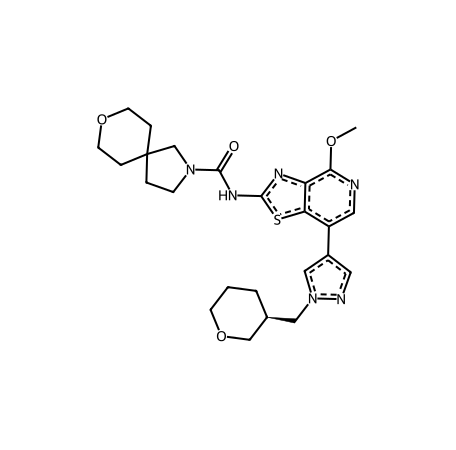 COc1ncc(-c2cnn(C[C@@H]3CCCOC3)c2)c2sc(NC(=O)N3CCC4(CCOCC4)C3)nc12